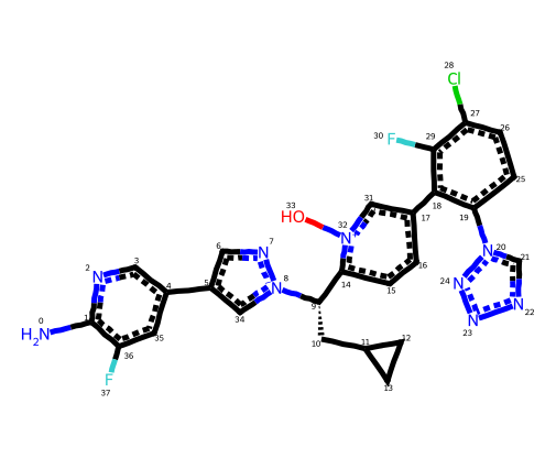 Nc1ncc(-c2cnn([C@@H](CC3CC3)c3ccc(-c4c(-n5cnnn5)ccc(Cl)c4F)c[n+]3O)c2)cc1F